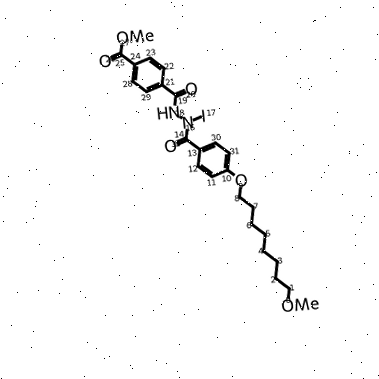 COCCCCCCCCOc1ccc(C(=O)N(I)NC(=O)c2ccc(C(=O)OC)cc2)cc1